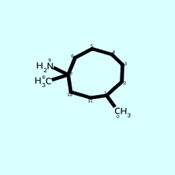 CC1CCCCCC(C)(N)CC1